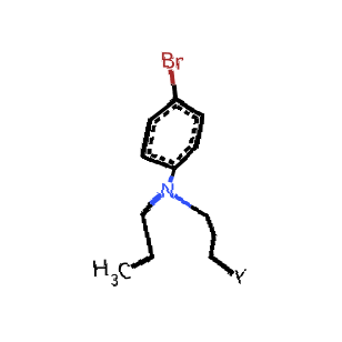 CCCN(C[CH2][Y])c1ccc(Br)cc1